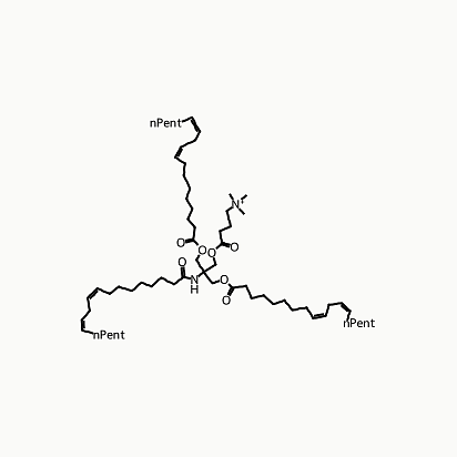 CCCCC/C=C\C/C=C\CCCCCCCC(=O)NC(COC(=O)CCCCCCC/C=C\C/C=C\CCCCC)(COC(=O)CCCCCCC/C=C\C/C=C\CCCCC)COC(=O)CCC[N+](C)(C)C